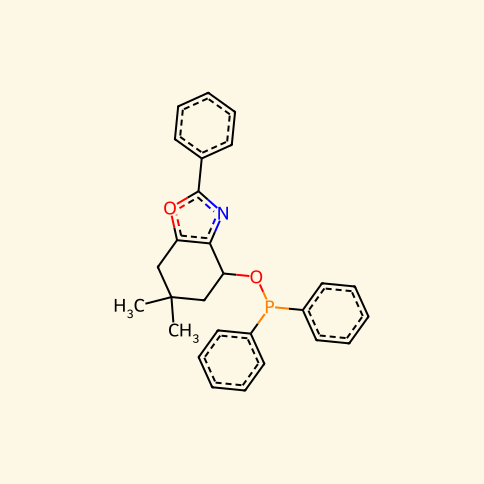 CC1(C)Cc2oc(-c3ccccc3)nc2C(OP(c2ccccc2)c2ccccc2)C1